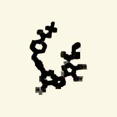 CCNC(=O)[C@H]1O[C@@H](n2cnc3c(N)nc(C#CCC4CCN(C(=O)OC(C)(C)C)CC4)nc32)C(O)C1O